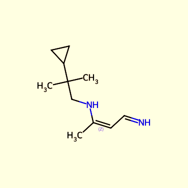 C/C(=C/C=N)NCC(C)(C)C1CC1